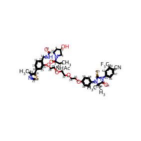 CC(=O)N[C@@H](C)C(=O)N1C[C@H](O)C[C@H]1C(=O)NCc1ccc(-c2scnc2C)cc1OCCOCCOCCOc1ccc(N2C(=S)N(c3ccc(C#N)c(C(F)(F)F)c3)C(=O)C2(C)C)cc1